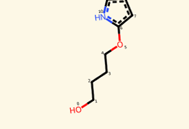 OCCCCOc1ccc[nH]1